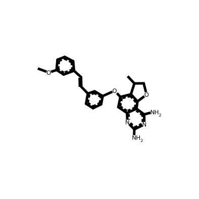 COc1cccc(C=Cc2cccc(Oc3cc4nc(N)nc(N)c4c4c3C(C)CO4)c2)c1